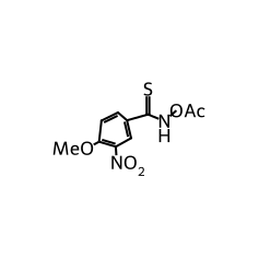 COc1ccc(C(=S)NOC(C)=O)cc1[N+](=O)[O-]